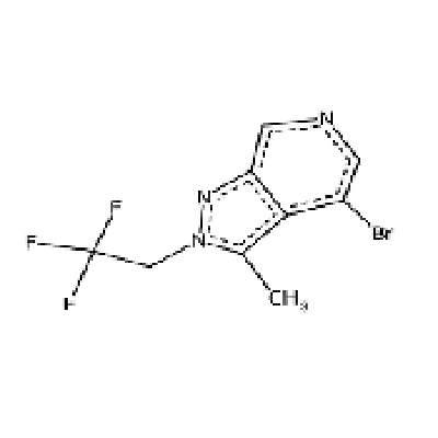 Cc1c2c(Br)cncc2nn1CC(F)(F)F